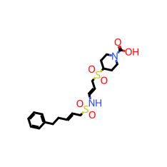 O=C(O)N1CCC(S(=O)(=O)CC=CNS(=O)(=O)CC=CCCc2ccccc2)CC1